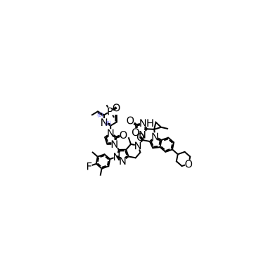 C=C/C(=N\C(=C/C)P(C)(C)=O)n1ccn(-c2c3c(nn2-c2cc(C)c(F)c(C)c2)CCN(C(=O)c2cc4cc(C5CCOCC5)ccc4n2C2(c4noc(=O)[nH]4)CC2C)C3C)c1=O